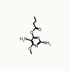 CCCC(=O)Oc1nc(N)nc(OC)c1N